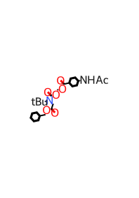 CC(=O)Nc1ccc(C(=O)OCOC(=O)N(CC(=O)OCc2ccccc2)C(C)(C)C)cc1